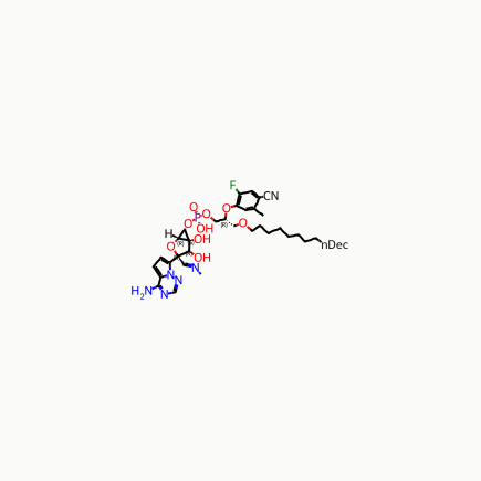 CCCCCCCCCCCCCCCCCCOC[C@H](COP(=O)(O)OC1[C@H]2O[C@@](C=NC)(c3ccc4c(N)ncnn34)[C@H](O)[C@@]12O)Oc1cc(C)c(C#N)cc1F